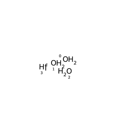 O.O.O.[Hf]